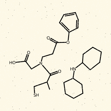 C1CCC(NC2CCCCC2)CC1.CC(CS)C(=O)N(CCC(=O)Oc1ccccc1)CC(=O)O